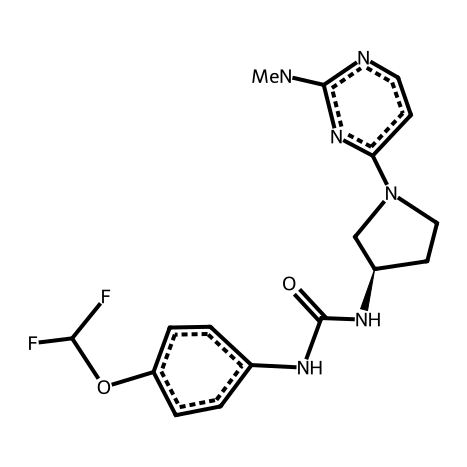 CNc1nccc(N2CC[C@@H](NC(=O)Nc3ccc(OC(F)F)cc3)C2)n1